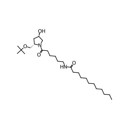 CCCCCCCCCCCC(=O)NCCCCCC(=O)N1C[C@H](O)C[C@H]1COC(C)(C)C